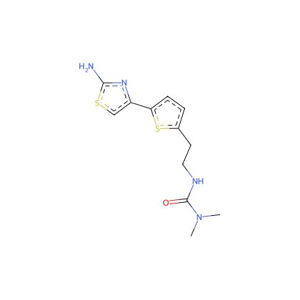 CN(C)C(=O)NCCc1ccc(-c2csc(N)n2)s1